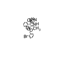 CC1=C(C(=O)OCc2ccccc2Br)C(c2c(Cl)cccc2Cl)n2nnnc2N1